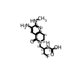 CNc1nc2c(cc1N)C(=O)N(CC(CF)NC(=O)O)CC2